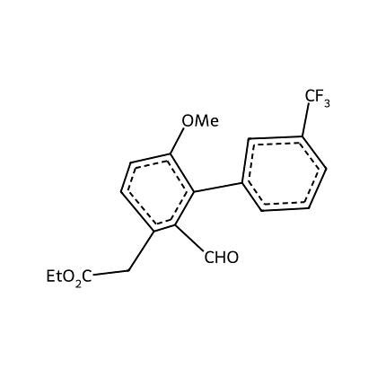 CCOC(=O)Cc1ccc(OC)c(-c2cccc(C(F)(F)F)c2)c1C=O